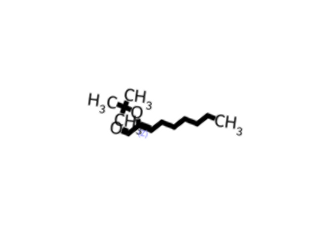 CCCCCC/C=C(/C=O)OC(C)(C)C